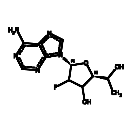 CC(O)[C@H]1O[C@@H](n2cnc3c(N)ncnc32)C(F)C1O